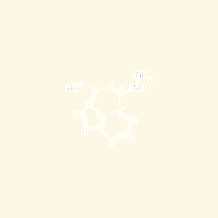 Cl.NNc1ccc2c3c(cccc13)C=C2